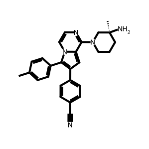 Cc1ccc(-c2c(-c3ccc(C#N)cc3)cc3c(N4CCC[C@](C)(N)C4)nccn23)cc1